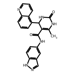 CC1=C(C(=O)Nc2ccc3[nH]ncc3c2)C(c2cccc3ncccc23)NC(=O)N1